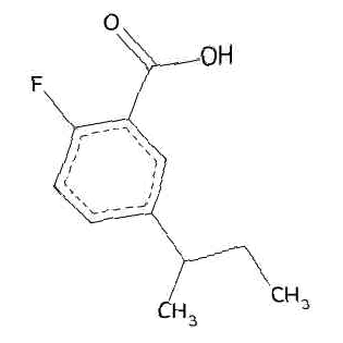 CCC(C)c1ccc(F)c(C(=O)O)c1